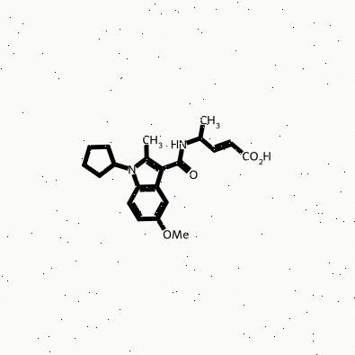 COc1ccc2c(c1)c(C(=O)NC(C)/C=C/C(=O)O)c(C)n2C1CCCC1